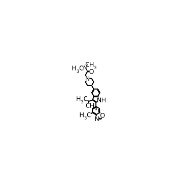 Cc1cc(-c2[nH]c3ccc(C4CCN(CC(=O)N(C)C)CC4)cc3c2C(C)C)cc2ocnc12